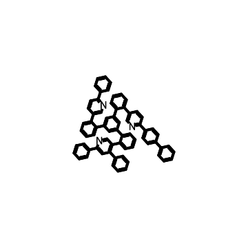 c1ccc(-c2ccc(-c3ccc(-c4ccccc4-c4cc(-c5ccccc5-c5ccc(-c6ccccc6)nc5)cc(-c5ccccc5-c5cnc(-c6ccccc6)cc5-c5ccccc5)c4)cn3)cc2)cc1